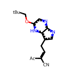 CC(=O)/C(C#N)=C\Cc1cnc2ncc(OCC(C)(C)C)[nH]c1-2